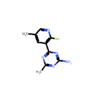 Cc1cnc(F)c(-c2nc(C)nc(N)n2)c1